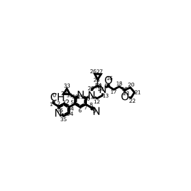 C=Cc1cc(-c2cc(C#N)c(N3CCN(C(=O)CCC4CCCO4)[C@H](C4CC4)C3)nc2C2CC2)ccn1